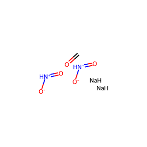 C=O.O=[NH+][O-].O=[NH+][O-].[NaH].[NaH]